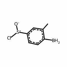 Bc1ccc([S+]([O-])Cl)cc1C